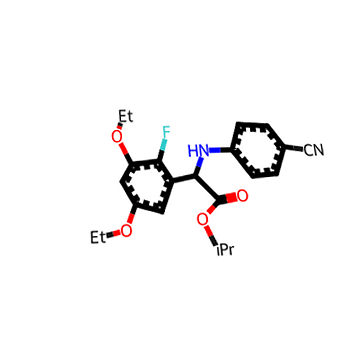 CCOc1cc(OCC)c(F)c(C(Nc2ccc(C#N)cc2)C(=O)OC(C)C)c1